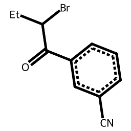 CCC(Br)C(=O)c1cccc(C#N)c1